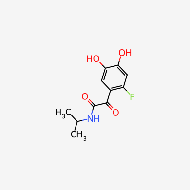 CC(C)NC(=O)C(=O)c1cc(O)c(O)cc1F